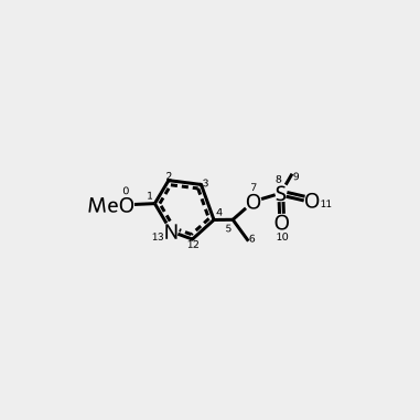 COc1ccc(C(C)OS(C)(=O)=O)cn1